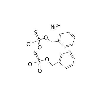 O=S([O-])(=S)OCc1ccccc1.O=S([O-])(=S)OCc1ccccc1.[Ni+2]